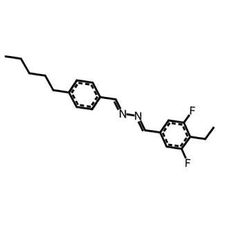 CCCCCc1ccc(C=NN=Cc2cc(F)c(CC)c(F)c2)cc1